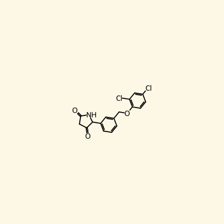 O=C1CC(=O)C(c2cccc(COc3ccc(Cl)cc3Cl)c2)N1